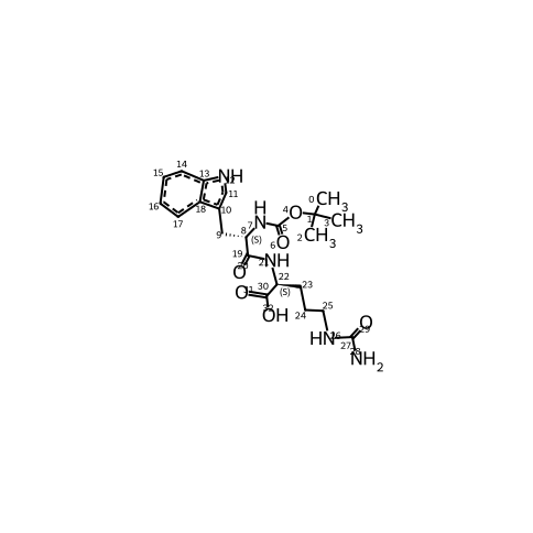 CC(C)(C)OC(=O)N[C@@H](Cc1c[nH]c2ccccc12)C(=O)N[C@@H](CCCNC(N)=O)C(=O)O